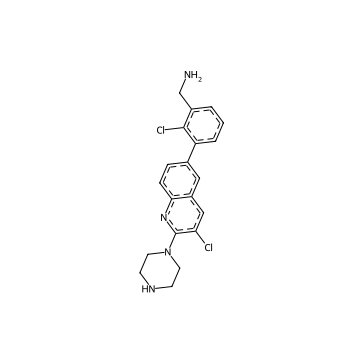 NCc1cccc(-c2ccc3nc(N4CCNCC4)c(Cl)cc3c2)c1Cl